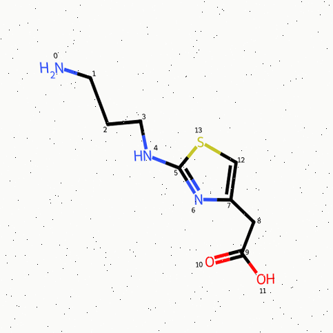 NCCCNc1nc(CC(=O)O)cs1